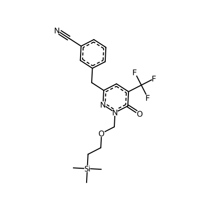 C[Si](C)(C)CCOCn1nc(Cc2cccc(C#N)c2)cc(C(F)(F)F)c1=O